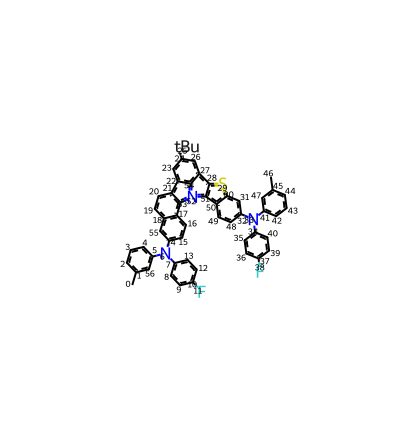 Cc1cccc(N(c2ccc(F)cc2)c2ccc3c(ccc4c5cc(C(C)(C)C)cc6c7sc8cc(N(c9ccc(F)cc9)c9cccc(C)c9)ccc8c7n(c34)c56)c2)c1